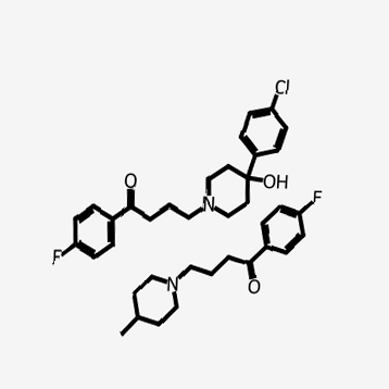 CC1CCN(CCCC(=O)c2ccc(F)cc2)CC1.O=C(CCCN1CCC(O)(c2ccc(Cl)cc2)CC1)c1ccc(F)cc1